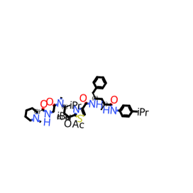 CC[C@H](C)C(NC(=O)[C@H]1CCCCN1C)C(=O)N(C)[C@H](C[C@@H](OC(C)=O)c1nc(C(=O)N[C@@H](Cc2ccccc2)C[C@H](C)C(=O)Nc2ccc(C(C)C)cc2)cs1)C(C)C